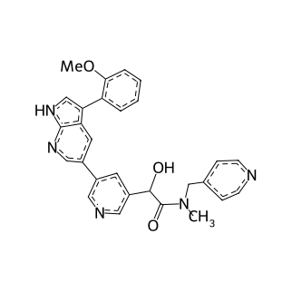 COc1ccccc1-c1c[nH]c2ncc(-c3cncc(C(O)C(=O)N(C)Cc4ccncc4)c3)cc12